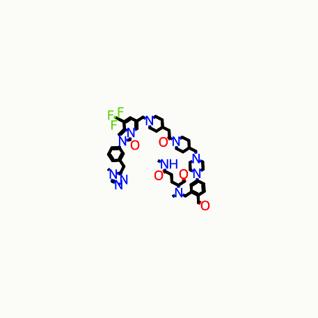 CNC(=O)CCC(C=O)N(C)Cc1cc(N2CCN(CC3CCN(C(=O)CC4CCN(Cc5cc(C(F)(F)F)c6cn(-c7cccc(Cc8nncn8C)c7)c(=O)n6c5)CC4)CC3)CC2)ccc1C=O